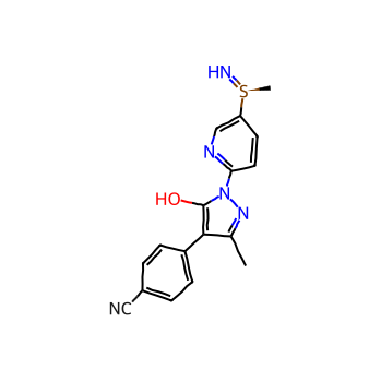 Cc1nn(-c2ccc([S@](C)=N)cn2)c(O)c1-c1ccc(C#N)cc1